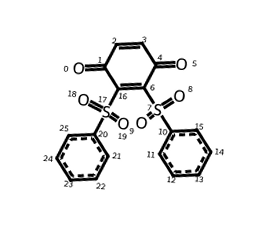 O=C1C=CC(=O)C(S(=O)(=O)c2ccccc2)=C1S(=O)(=O)c1ccccc1